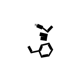 C#C.C#C.C=CC#N.C=Cc1ccccc1